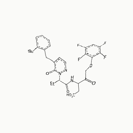 CCC(C(=O)NC(CC(=O)O)C(=O)COc1c(F)c(F)cc(F)c1F)n1nccc(Cc2ccccc2C(C)(C)C)c1=O